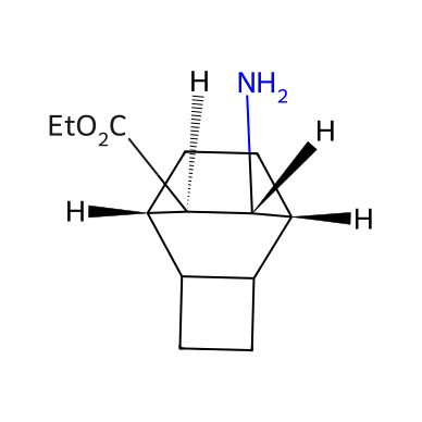 CCOC(=O)[C@H]1[C@H](N)[C@@H]2CC[C@H]1C1CCC12